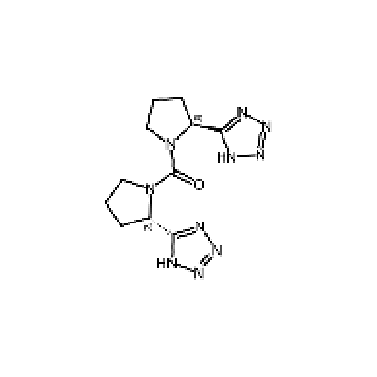 O=C(N1CCC[C@H]1c1nnn[nH]1)N1CCC[C@H]1c1nnn[nH]1